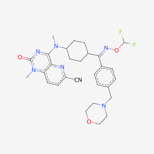 CN(c1nc(=O)n(C)c2ccc(C#N)nc12)C1CCC(/C(=N/OC(F)F)c2ccc(CN3CCOCC3)cc2)CC1